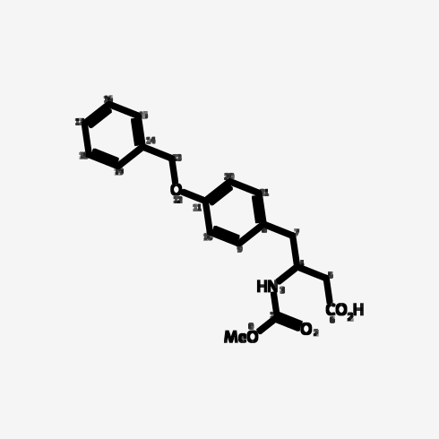 COC(=O)NC(CC(=O)O)Cc1ccc(OCc2ccccc2)cc1